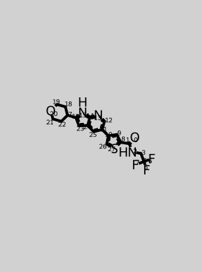 O=C(NCC(F)(F)F)c1cc(-c2cnc3[nH]c(C4CCOCC4)cc3c2)cs1